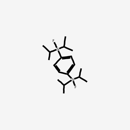 CC(C)[Si](F)(c1ccc([Si](F)(C(C)C)C(C)C)cc1)C(C)C